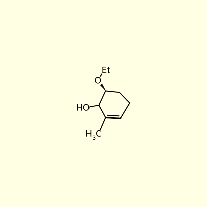 CCO[C@H]1CCC=C(C)C1O